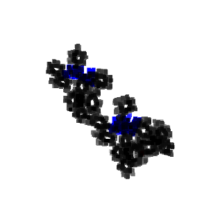 c1ccc(-c2nc(-n3c4ccccc4c4ccccc43)nc(-n3c4ccc([Si](c5ccccc5)(c5ccccc5)c5cccc(-c6ccc7c(c6)c6ccccc6n7-c6nc(-c7ccccc7)nc(-n7c8ccc([Si](c9ccccc9)(c9ccccc9)c9ccccc9)cc8n8c9cc([Si](c%10ccccc%10)(c%10ccccc%10)c%10ccccc%10)ccc9nc78)n6)c5)cc4n4c5ccccc5nc34)n2)cc1